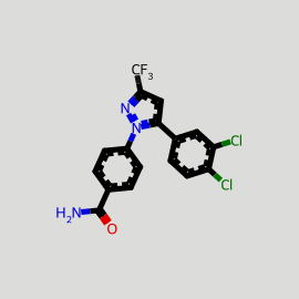 NC(=O)c1ccc(-n2nc(C(F)(F)F)cc2-c2ccc(Cl)c(Cl)c2)cc1